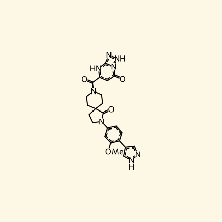 COc1cc(N2CCC3(CCN(C(=O)c4cc(=O)n5[nH]nc5[nH]4)CC3)C2=O)ccc1-c1cn[nH]c1